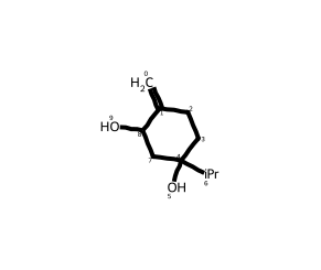 C=C1CCC(O)(C(C)C)CC1O